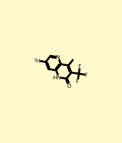 [2H]c1cnc2c(C)c(C(F)(F)F)c(=O)[nH]c2c1